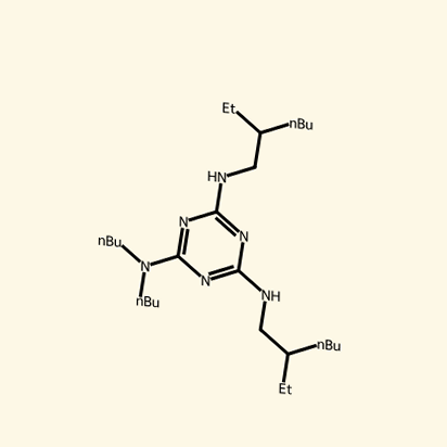 CCCCC(CC)CNc1nc(NCC(CC)CCCC)nc(N(CCCC)CCCC)n1